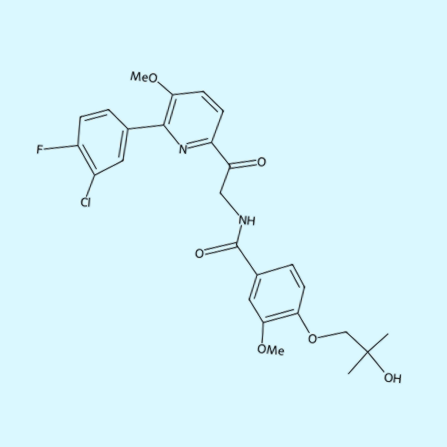 COc1cc(C(=O)NCC(=O)c2ccc(OC)c(-c3ccc(F)c(Cl)c3)n2)ccc1OCC(C)(C)O